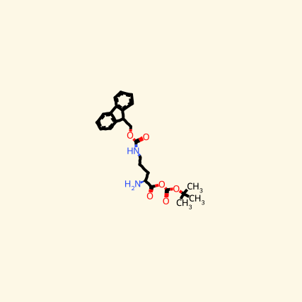 CC(C)(C)OC(=O)OC(=O)[C@@H](N)CCCNC(=O)OCC1c2ccccc2-c2ccccc21